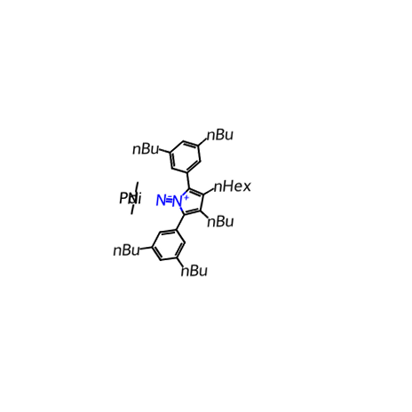 CCCCCCC1=C(c2cc(CCCC)cc(CCCC)c2)[N+](=[N-])C(c2cc(CCCC)cc(CCCC)c2)=C1CCCC.[CH3][Ni][CH3].[Pd]